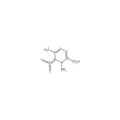 CC1=CC=C(C(=O)O)C([N+](=O)[O-])C1=S(=O)=O